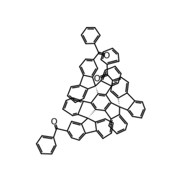 O=C(c1ccccc1)c1ccc2c(c1)[C@]1(c3ccccc3-2)c2ccccc2-c2c1c1c(c3c2[C@@]2(c4ccccc4-c4ccc(C(=O)c5ccccc5)cc42)c2ccccc2-3)[C@@]2(c3ccccc3-c3ccc(C(=O)c4ccccc4)cc32)c2ccccc2-1